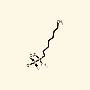 CCCCCCCC[N+](C)(C)S(=O)(=O)[O-]